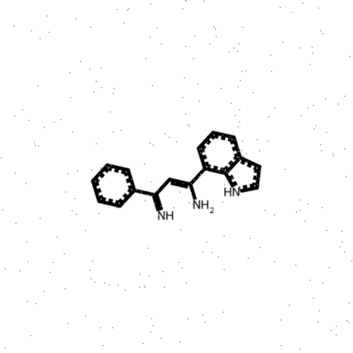 N=C(/C=C(\N)c1cccc2cc[nH]c12)c1ccccc1